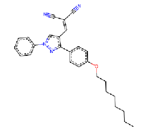 CCCCCCCCOc1ccc(-c2nn(-c3ccccc3)cc2C=C(C#N)C#N)cc1